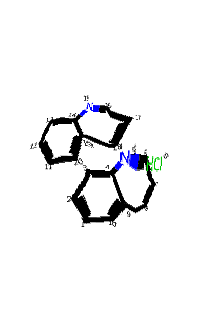 Cl.c1ccc2ncccc2c1.c1ccc2ncccc2c1